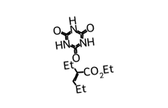 CCC=C(CC)C(=O)OCC.O=c1[nH]c(=O)[nH]c(=O)[nH]1